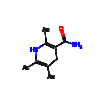 CC(=O)C1=C(C(C)=O)NC(C(C)=O)=C(C(N)=O)C1